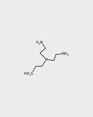 NCCN(CCN)CCS(=O)(=O)O